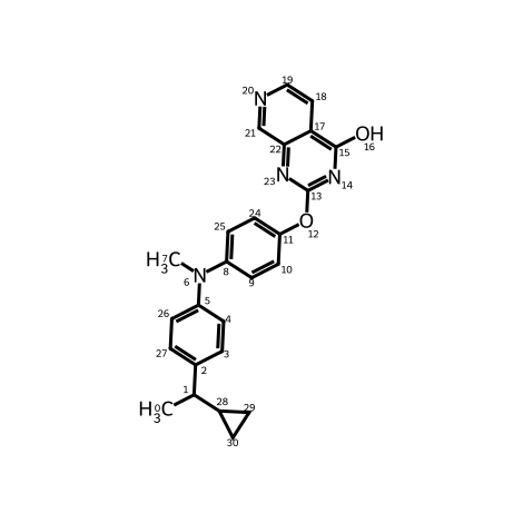 CC(c1ccc(N(C)c2ccc(Oc3nc(O)c4ccncc4n3)cc2)cc1)C1CC1